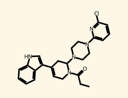 CCC(=O)N1CC=C(c2c[nH]c3ccccc23)CC1N1CCN(c2cccc(Cl)n2)CC1